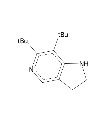 CC(C)(C)c1ncc2c(c1C(C)(C)C)NCC2